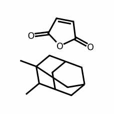 CC1C2CC3CC(C2)CC1(C)C3.O=C1C=CC(=O)O1